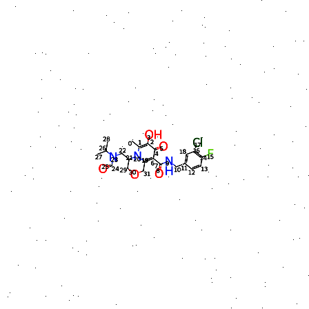 Cc1c(O)c(=O)c(C(=O)NCc2ccc(F)c(Cl)c2)c2n1C(CN(C=O)C(C)C)COC2